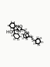 OC(c1ccccc1)(c1noc(C[N+]23CCC(CC2)C(CSc2ccccc2)C3)n1)C1CCCCC1